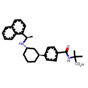 C[C@@H](N[C@H]1CCC[C@H](c2ccc(C(=O)NC(C)(C)C(=O)O)cc2)C1)c1cccc2ccccc12